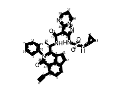 C#Cc1ccc2c3c(c([C@@H](C)NC(=O)c4c(NS(=O)(=O)NC5CC5)nn5cccnc45)n(-c4ccccc4)c(=O)c13)C=C2